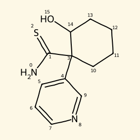 NC(=S)C1(c2cccnc2)CCCCC1O